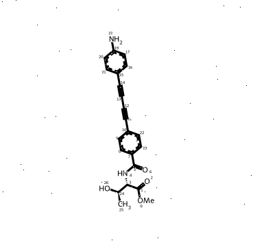 COC(=O)[C@@H](NC(=O)c1ccc(C#CC#Cc2ccc(N)cc2)cc1)[C@@H](C)O